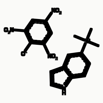 C[N+](C)(C)c1ccc2[nH]ccc2c1.O=[N+]([O-])c1cc([N+](=O)[O-])c([O-])c([N+](=O)[O-])c1